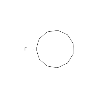 FC1CCCCCCCCCC1